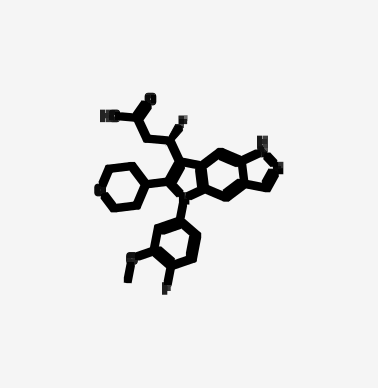 COc1cc(-n2c(C3CCOCC3)c([C@H](F)CC(=O)O)c3cc4[nH]ncc4cc32)ccc1F